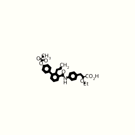 C=CCc1c(C(=O)Nc2ccc(C[C@H](OCC)C(=O)O)cc2)cccc1-c1ccc(OS(C)(=O)=O)cc1